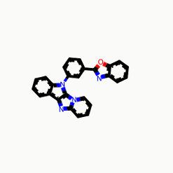 c1cc(-c2nc3ccccc3o2)cc(-n2c3ccccc3c3nc4ccccn4c32)c1